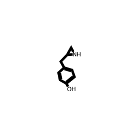 Oc1ccc(CC2CN2)cc1